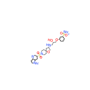 NS(=O)(=O)c1cccc(OC[C@@H](O)CNC2COC3(CCN(S(=O)(=O)c4cnc5cc[nH]c5c4)CC3)C2)c1